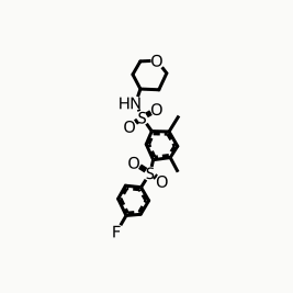 Cc1cc(C)c(S(=O)(=O)c2ccc(F)cc2)cc1S(=O)(=O)NC1CCOCC1